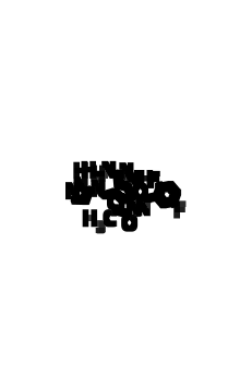 CC(C)C(=O)N1N=C(c2cc(F)ccc2F)OC1(CCCNc1ccn[nH]1)c1cc(N)n[nH]1